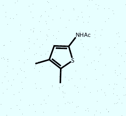 CC(=O)Nc1cc(C)c(C)s1